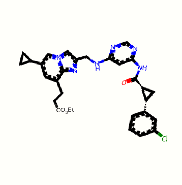 CCOC(=O)CCc1cc(C2CC2)cn2cc(CNc3cc(NC(=O)[C@H]4C[C@@H]4c4cccc(Cl)c4)ncn3)nc12